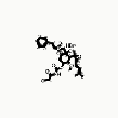 Br.COC1C(OC(=O)NC(=O)CCl)CCC(O)(CS(=O)(=O)CCc2ccccc2)C1C1(C)OC1CC=C(C)C